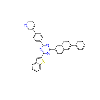 c1ccc(-c2ccc3cc(-c4nc(-c5ccc(-c6cccnc6)cc5)nc(-c5cc6ccccc6s5)n4)ccc3c2)cc1